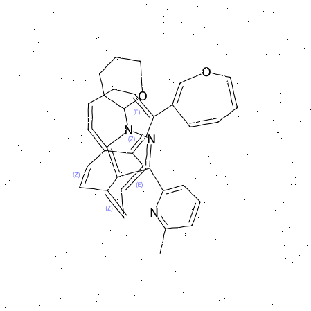 Cc1cccc(-c2nn(C3CCCCO3)cc2C2=C\C=C\C3=C\C(C4=COC=CC=C4)=C/CC=C=C3/C=C\2)n1